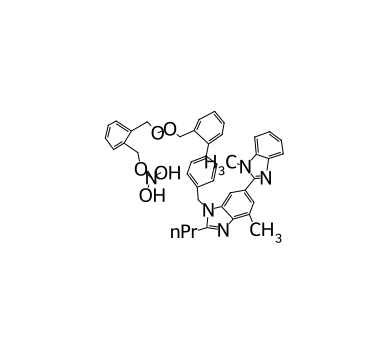 CCCc1nc2c(C)cc(-c3nc4ccccc4n3C)cc2n1Cc1ccc(-c2ccccc2COOCc2ccccc2CON(O)O)cc1